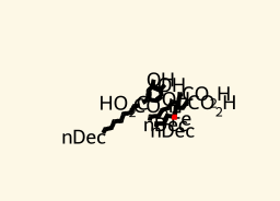 CCCCCCCCCCCCCCCCCC(=O)O.CCCCCCCCCCCCCCCCCC(=O)O.CCCCCCCCCCCCCCCCCC(=O)O.O=C(O)c1cc(O)c(O)c(O)c1.[Fe]